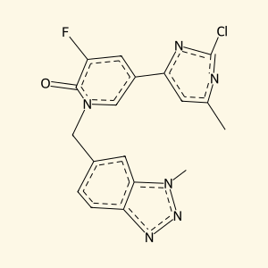 Cc1cc(-c2cc(F)c(=O)n(Cc3ccc4nnn(C)c4c3)c2)nc(Cl)n1